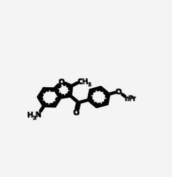 CCCOc1ccc(C(=O)c2c(C)oc3ccc(N)cc23)cc1